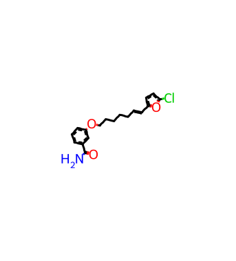 NC(=O)c1cccc(OCCCCCC=Cc2ccc(Cl)o2)c1